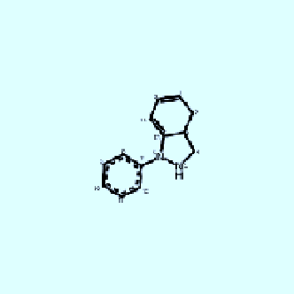 C1=CCC2CNN(c3ccccc3)C2=C1